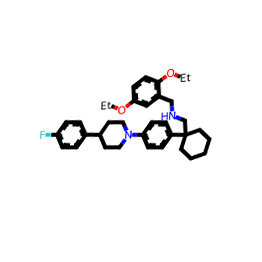 CCOc1ccc(OCC)c(CNCC2(c3ccc(N4CCC(c5ccc(F)cc5)CC4)cc3)CCCCC2)c1